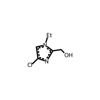 CCn1cc(Cl)nc1CO